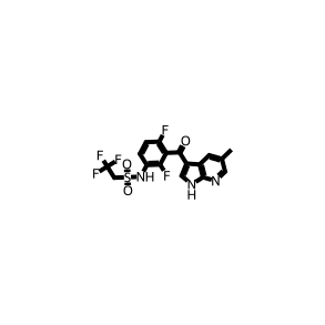 Cc1cnc2[nH]cc(C(=O)c3c(F)ccc(NS(=O)(=O)CC(F)(F)F)c3F)c2c1